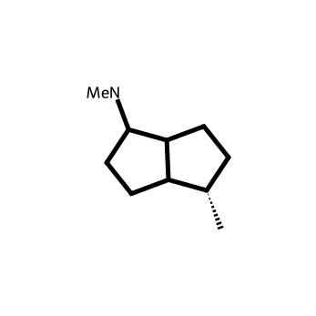 CNC1CCC2C1CC[C@@H]2C